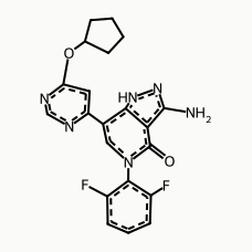 Nc1n[nH]c2c(-c3cc(OC4CCCC4)ncn3)cn(-c3c(F)cccc3F)c(=O)c12